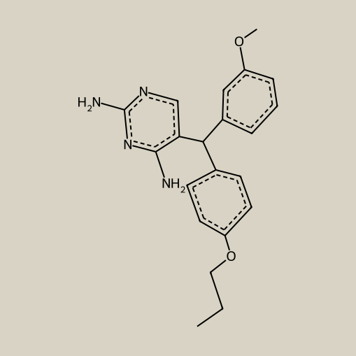 CCCOc1ccc(C(c2cccc(OC)c2)c2cnc(N)nc2N)cc1